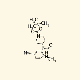 CNc1ccc(C#N)cc1N(C=O)C1CCN(C(=O)OC(C)(C)C)CC1